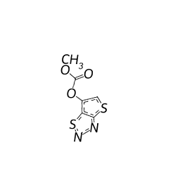 COC(=O)Oc1csc2nnsc12